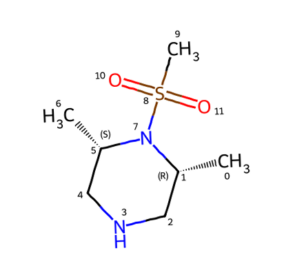 C[C@@H]1CNC[C@H](C)N1S(C)(=O)=O